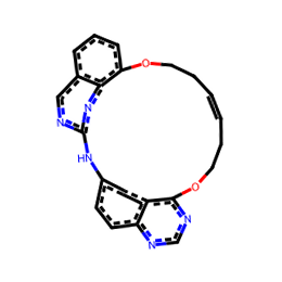 C1=C\CCOc2cccc3cnc(nc23)Nc2ccc3ncnc(c3c2)OCC/1